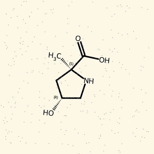 C[C@@]1(C(=O)O)C[C@@H](O)CN1